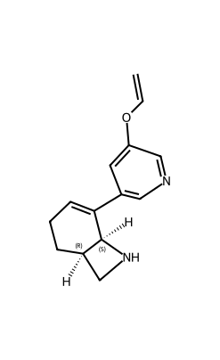 C=COc1cncc(C2=CCC[C@@H]3CN[C@H]23)c1